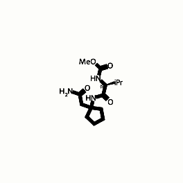 COC(=O)N[C@H](C(=O)NC1(CC(N)=O)CCCC1)C(C)C